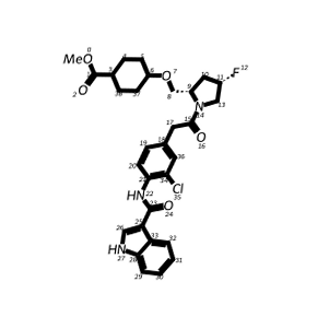 COC(=O)C1CCC(OC[C@@H]2C[C@H](F)CN2C(=O)Cc2ccc(NC(=O)c3c[nH]c4ccccc34)c(Cl)c2)CC1